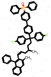 Cc1cc2ccccc2c(-c2ccccc2)c1/C=C\CC(C)CCC(c1ccc(F)cc1)(c1ccc(F)cc1)c1ccc(-c2ccc(P(=O)(c3ccccc3)c3ccccc3)cc2)cc1